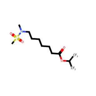 CN(CCCCCCC(=O)OC(C(F)(F)F)C(F)(F)F)S(C)(=O)=O